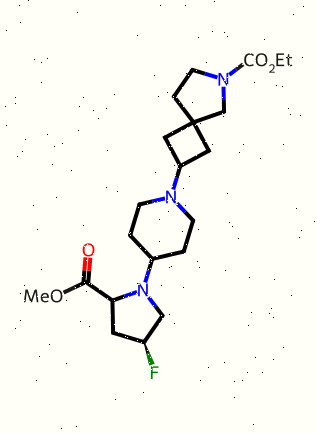 CCOC(=O)N1CCC2(CC(N3CCC(N4C[C@@H](F)CC4C(=O)OC)CC3)C2)C1